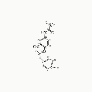 Cc1ccc(CC(C)Oc2ccc(NC(=O)N(C)C)cc2Cl)cc1